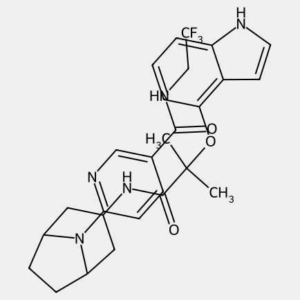 CC(C)(Oc1cccc2[nH]ccc12)C(=O)NC1CC2CCC(C1)N2c1ccc(C(=O)NCC(F)(F)F)cn1